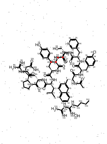 CC(=O)N[C@H](Cc1ccc2ccccc2c1)C(=O)N[C@H](Cc1ccc(Cl)cc1)C(=O)N[C@H](Cc1cccnc1)C(=O)N[C@@H](CO)C(=O)N[C@@H](Cc1ccc(O)cc1)C(=O)N[C@H](CCCNC(N)=O)C(=O)N[C@@H](CC(C)C)C(=O)N[C@@H](CCCNC(=N)N)C(=O)N1CCC[C@H]1C(=O)N[C@H](C)C(N)=O.CCCCNC(=N)NC(=N)N.Cl